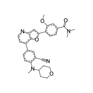 COc1cc(C(=O)N(C)C)ccc1-c1cc2nccc(-c3ccc(N(C)C4CCOCC4)c(C#N)c3)c2o1